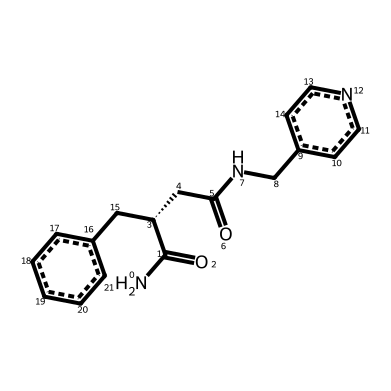 NC(=O)[C@@H](CC(=O)NCc1ccncc1)Cc1ccccc1